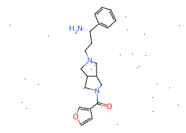 N[C@@H](CCN1CC2CN(C(=O)c3ccoc3)CC2C1)c1ccccc1